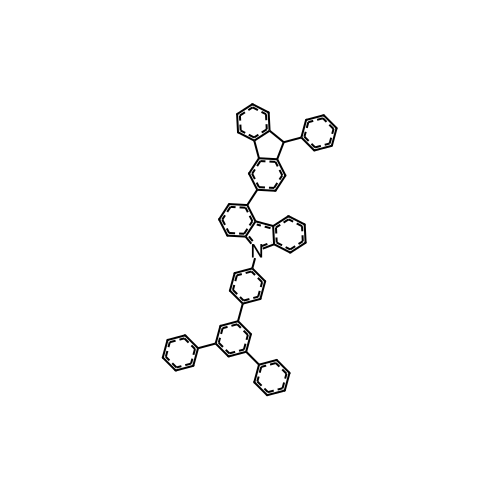 c1ccc(-c2cc(-c3ccccc3)cc(-c3ccc(-n4c5ccccc5c5c(-c6ccc7c(c6)-c6ccccc6C7c6ccccc6)cccc54)cc3)c2)cc1